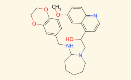 COc1ccc2nccc(C(O)CN3CCCCCC3NCc3ccc4c(c3)OCCO4)c2c1